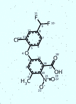 Cc1cc(Oc2ccc(C(F)F)cc2Cl)cc(C(=O)O)c1[N+](=O)[O-]